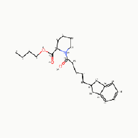 CCCCOC(=O)C1CCCCN1C(=O)CCCCC1Cc2ccccc2C1